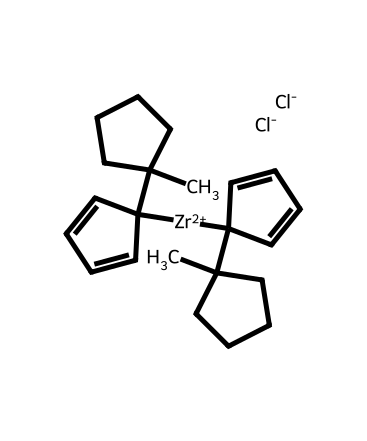 CC1([C]2([Zr+2][C]3(C4(C)CCCC4)C=CC=C3)C=CC=C2)CCCC1.[Cl-].[Cl-]